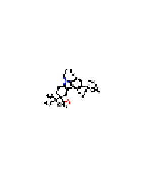 CCn1c2c(c3cc(C(C)(C)C)ccc31)=CC(C=O)(C(C)(C)C)CC=2